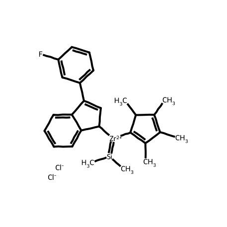 CC1=C(C)C(C)[C]([Zr+2]([CH]2C=C(c3cccc(F)c3)c3ccccc32)=[Si](C)C)=C1C.[Cl-].[Cl-]